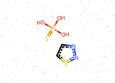 OP(O)(O)=S.c1csnn1